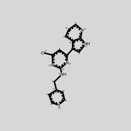 Clc1cc(-c2c[nH]c3ncccc23)nc(NCc2ccncc2)n1